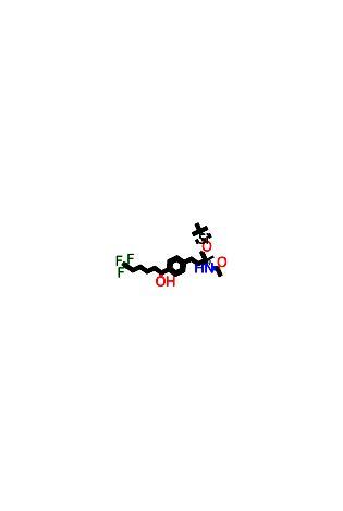 CC(=O)N[C@](C)(CCc1ccc(C(O)CCCCC(F)(F)F)cc1)CO[Si](C)(C)C(C)(C)C